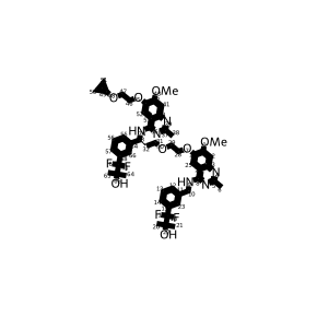 COc1cc2nc(C)nc(NCc3cccc(C(F)(F)C(C)(C)O)c3)c2cc1OCCOCC[C@@H](Nc1nc(C)nc2cc(OC)c(OCCOC3CC3)cc12)c1cccc(C(F)(F)C(C)(C)O)c1